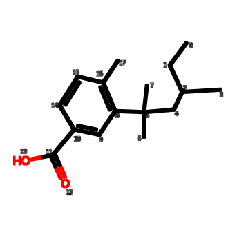 CCC(C)CC(C)(C)c1cc(C(=O)O)ccc1C